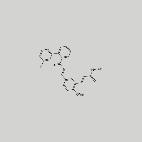 COc1ccc(/C=C/C(=O)c2ccccc2-c2cccc(F)c2)cc1/C=C/C(=O)NO